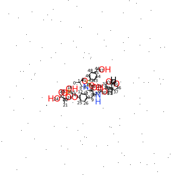 CC(C)CN(C[C@@H](O)[C@H](Cc1ccc(OCP(=O)(O)O[C@@H](C)C(=O)O)cc1)NC(=O)O[C@H]1CO[C@H]2OCC[C@H]21)S(=O)(=O)c1ccc(CO)cc1